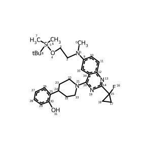 CN(CCO[Si](C)(C)C(C)(C)C)c1ccc2nc(C3(F)CC3)nc(N3CCC(c4ccccc4O)CC3)c2c1